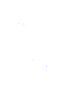 CNc1ccc(C#Cc2nc3cccnc3s2)cc1